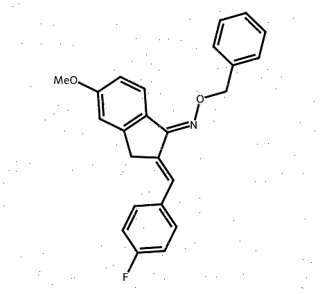 COc1ccc2c(c1)CC(=C\c1ccc(F)cc1)/C2=N/OCc1ccccc1